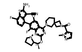 C[C@H](Oc1nc(N2CCCC3(CN(C(=O)c4ccnn4C)C3)C2)c2cc(Cl)c(-c3ccc(F)c4sc(N)c(C#N)c34)c(F)c2n1)C1CCCN1C